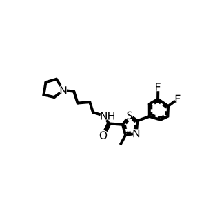 Cc1nc(-c2ccc(F)c(F)c2)sc1C(=O)NCCCCN1CCCC1